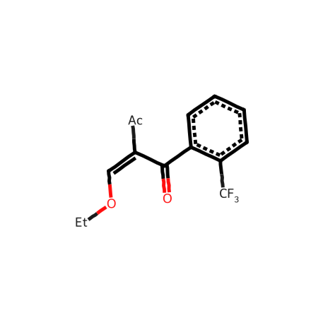 CCO/C=C(/C(C)=O)C(=O)c1ccccc1C(F)(F)F